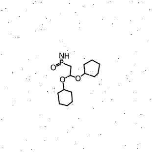 N=P(=O)CC(OC1CCCCC1)OC1CCCCC1